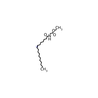 CCCCCCCCCC/C=C\CCCCCC(=O)NCC(=O)OCC